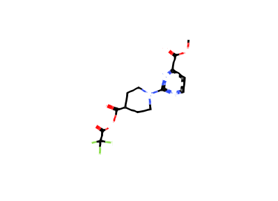 COC(=O)c1ccnc(N2CCC(C(=O)OC(=O)C(F)(F)F)CC2)n1